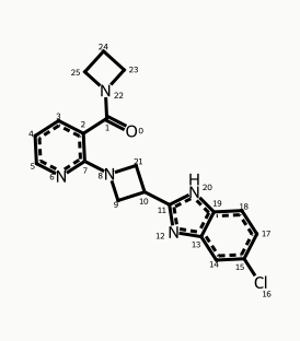 O=C(c1cccnc1N1CC(c2nc3cc(Cl)ccc3[nH]2)C1)N1CCC1